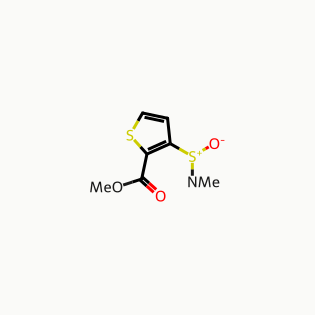 CN[S+]([O-])c1ccsc1C(=O)OC